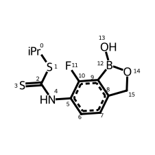 CC(C)SC(=S)Nc1ccc2c(c1F)B(O)OC2